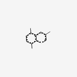 Cc1ccc(F)c2ncc(I)cc12